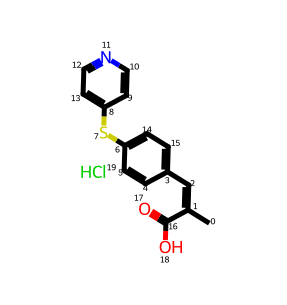 CC(=Cc1ccc(Sc2ccncc2)cc1)C(=O)O.Cl